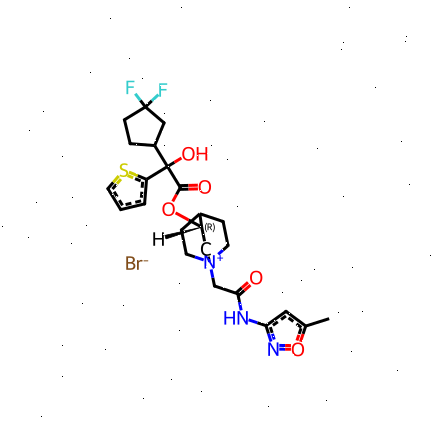 Cc1cc(NC(=O)C[N+]23CCC(CC2)[C@@H](OC(=O)C(O)(c2cccs2)C2CCC(F)(F)C2)C3)no1.[Br-]